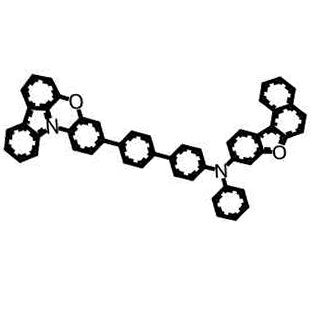 c1ccc(N(c2ccc(-c3ccc(-c4ccc5c(c4)Oc4cccc6c7ccccc7n-5c46)cc3)cc2)c2ccc3c(c2)oc2ccc4ccccc4c23)cc1